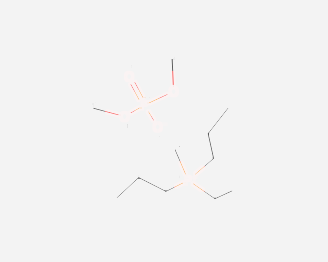 CCC[P+](C)(CC)CCC.COP(=O)([O-])OC